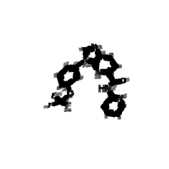 O=C(Nc1ccccn1)c1ccc2ncn(-c3cccc(OC(F)(F)F)c3)c2n1